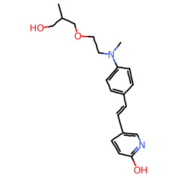 CC(CO)COCCN(C)c1ccc(/C=C/c2ccc(O)nc2)cc1